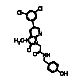 Cn1c(=O)n(CC(=O)NCc2ccc(O)cc2)c2ncc(-c3cc(Cl)cc(Cl)c3)cc21